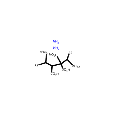 CCCCCCC(CC)C(C(=O)O)C(C(=O)O)(C(CC)CCCCCC)S(=O)(=O)O.N.N